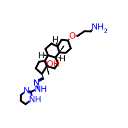 C[C@]12CC[C@H](OCCCN)C[C@H]1CC[C@@H]1[C@@H]2CC[C@]2(C)[C@@H](/C=N/NC3=NCCCN3)CC[C@]12O